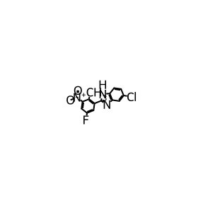 Cc1c(-c2nc3cc(Cl)ccc3[nH]2)cc(F)cc1[N+](=O)[O-]